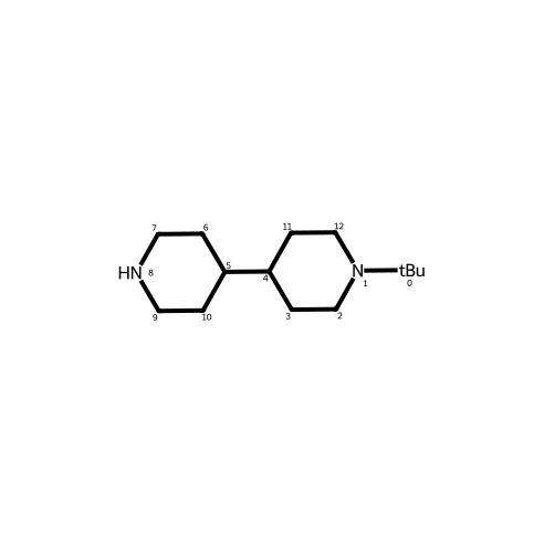 CC(C)(C)N1CCC(C2CCNCC2)CC1